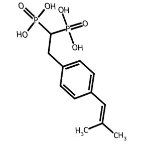 CC(C)=Cc1ccc(CC(P(=O)(O)O)P(=O)(O)O)cc1